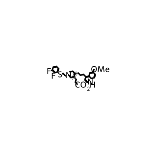 COc1ccc2nccc(CCC[C@@H]3CCN(CCSc4cccc(F)c4F)C[C@@H]3CCC(=O)O)c2c1